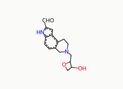 O=Cc1cc2c3c(ccc2[nH]1)CN(CC1OCC1O)CC3